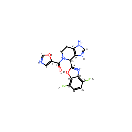 O=C(c1cnco1)N1CCc2[nH]cnc2[C@H]1c1nc2c(F)ccc(F)c2o1